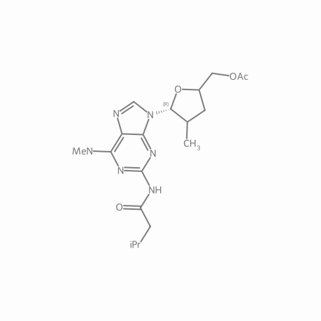 CNc1nc(NC(=O)CC(C)C)nc2c1ncn2[C@@H]1OC(COC(C)=O)CC1C